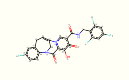 O=C(NCc1c(F)cc(F)cc1F)c1cn2c(c(O)c1=O)C(=O)N1CC2=CCc2cc(F)ccc21